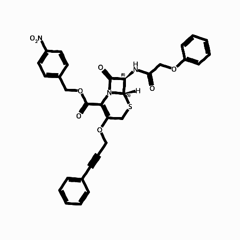 O=C(COc1ccccc1)N[C@@H]1C(=O)N2C(C(=O)OCc3ccc([N+](=O)[O-])cc3)=C(OCC#Cc3ccccc3)CS[C@@H]12